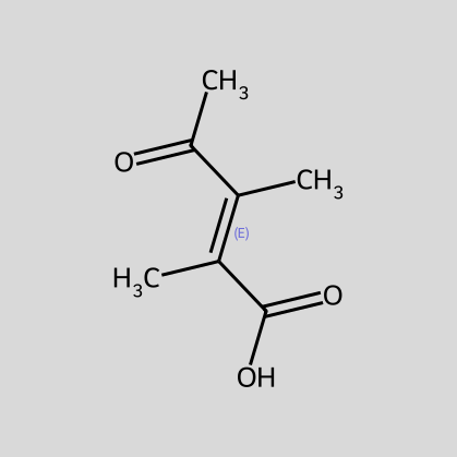 CC(=O)/C(C)=C(\C)C(=O)O